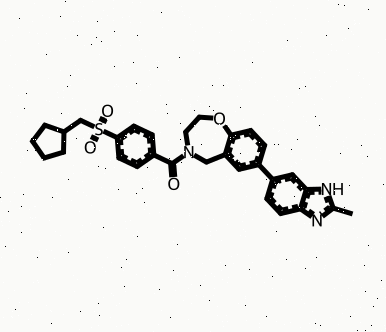 Cc1nc2ccc(-c3ccc4c(c3)CN(C(=O)c3ccc(S(=O)(=O)CC5CCCC5)cc3)CCO4)cc2[nH]1